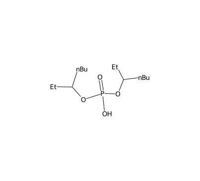 CCCCC(CC)OP(=O)(O)OC(CC)CCCC